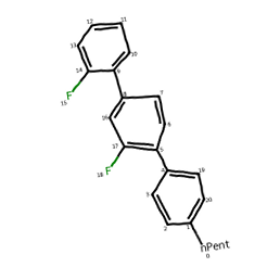 CCCCCc1ccc(-c2ccc(-c3ccccc3F)cc2F)cc1